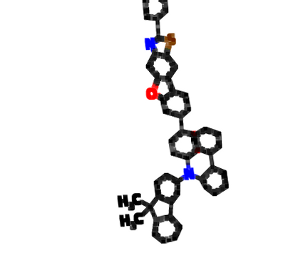 CC1(C)c2ccccc2-c2cc(N(c3ccc(-c4ccc5c(c4)oc4cc6nc(-c7ccccc7)sc6cc45)cc3)c3ccccc3-c3ccccc3)ccc21